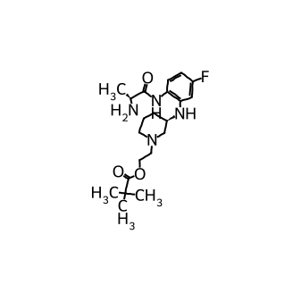 C[C@H](N)C(=O)Nc1ccc(F)cc1N[C@@H]1CCCN(CCOC(=O)C(C)(C)C)C1